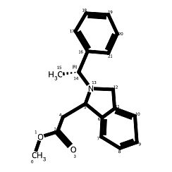 COC(=O)CC1c2ccccc2CN1[C@H](C)c1ccccc1